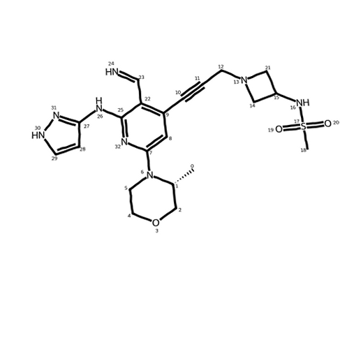 C[C@@H]1COCCN1c1cc(C#CCN2CC(NS(C)(=O)=O)C2)c(C=N)c(Nc2cc[nH]n2)n1